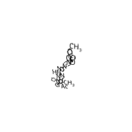 CC(=O)c1c(C)c2cnc(Nc3ccc(N4CCN(S(=O)(=O)Oc5ccc(C)cc5)CC4)cn3)nc2n(C2CCCC2)c1=O